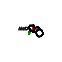 COc1ccc2c(c1F)C1(C)CCCCCC(C2)C1O